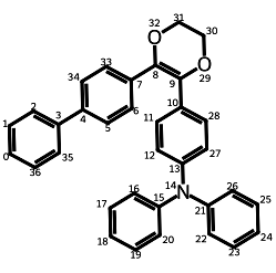 c1ccc(-c2ccc(C3=C(c4ccc(N(c5ccccc5)c5ccccc5)cc4)OCCO3)cc2)cc1